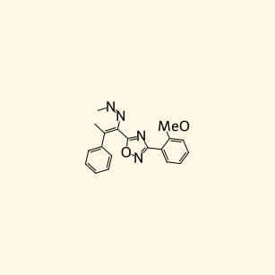 C/N=N\C(=C(/C)c1ccccc1)c1nc(-c2ccccc2OC)no1